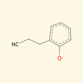 N#CCCc1ccccc1[O]